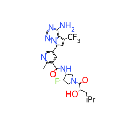 Cc1ncc(-c2cc(C(F)(F)F)c3c(N)ncnn23)cc1C(=O)N[C@@H]1CN(C(=O)[C@@H](O)CC(C)C)C[C@@H]1F